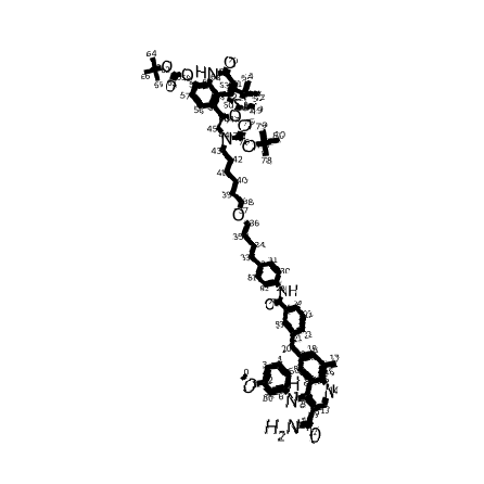 COc1cccc(Nc2c(C(N)=O)cnc3c(C)cc(Cc4cccc(C(=O)Nc5ccc(CCCCOCCCCCCN(C[C@H](O[Si](C)(C)C(C)(C)C)c6ccc(OC(=O)OC(C)(C)C)c7[nH]c(=O)ccc67)C(=O)OC(C)(C)C)cc5)c4)cc23)c1